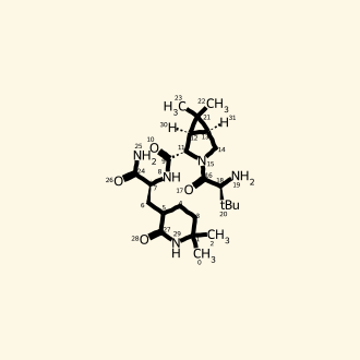 CC1(C)CCC(C[C@H](NC(=O)[C@@H]2[C@@H]3[C@H](CN2C(=O)[C@@H](N)C(C)(C)C)C3(C)C)C(N)=O)C(=O)N1